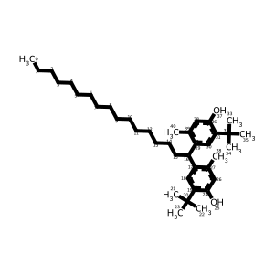 CCCCCCCCCCCCCCCCC(c1cc(C(C)(C)C)c(O)cc1C)c1cc(C(C)(C)C)c(O)cc1C